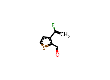 C=C(F)c1ccsc1C=O